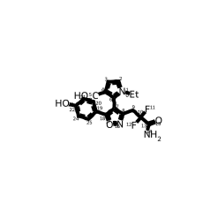 CCn1ccc(C(=O)O)c1-c1c(CC(F)(F)C(N)=O)noc1-c1ccc(O)cc1